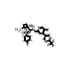 CC12CC(C1)[C@@H](C(=O)NCc1cc(-c3cnc(C(F)(F)F)nc3)c(F)cn1)N2S(=O)(=O)c1ccc(F)cc1